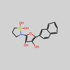 Oc1c(-c2ccc3ccccc3c2)oc(N2CCCS2(O)O)c1O